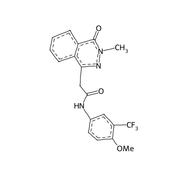 COc1ccc(NC(=O)Cc2nn(C)c(=O)c3ccccc23)cc1C(F)(F)F